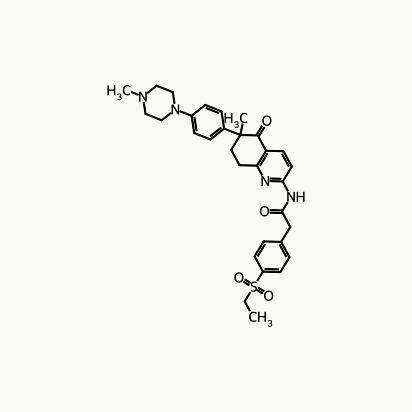 CCS(=O)(=O)c1ccc(CC(=O)Nc2ccc3c(n2)CCC(C)(c2ccc(N4CCN(C)CC4)cc2)C3=O)cc1